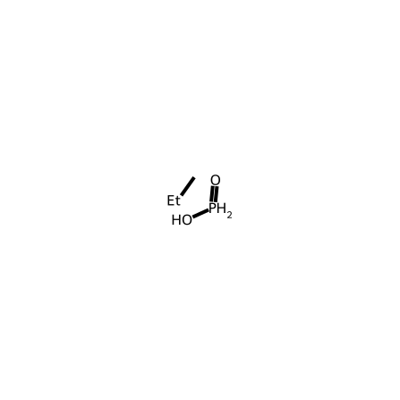 CCC.O=[PH2]O